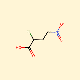 O=C(O)C(Cl)CC[N+](=O)[O-]